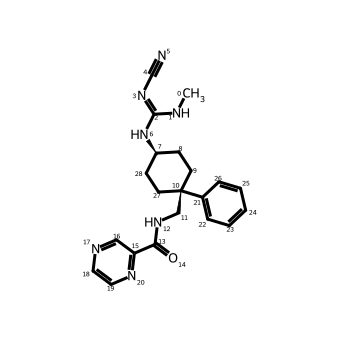 CN/C(=N\C#N)N[C@H]1CC[C@](CNC(=O)c2cnccn2)(c2ccccc2)CC1